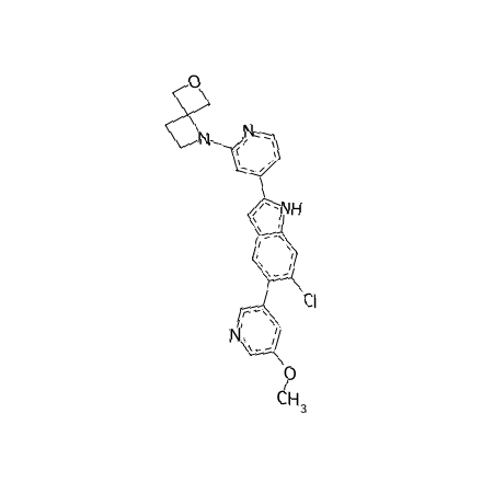 COc1cncc(-c2cc3cc(-c4ccnc(N5CCC56COC6)c4)[nH]c3cc2Cl)c1